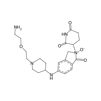 NCCOCCN1CCC(Nc2ccc3c(c2)C[N+]([O-])(C2CCC(=O)NC2=O)C3=O)CC1